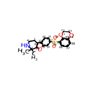 CC1(C)NCCc2c1oc1cc(S(=O)(=O)c3cccc4c3OCCO4)ccc21